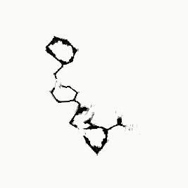 NC(=O)c1cccn2cc(C3CCN(Cc4ccccc4)CC3)nc12